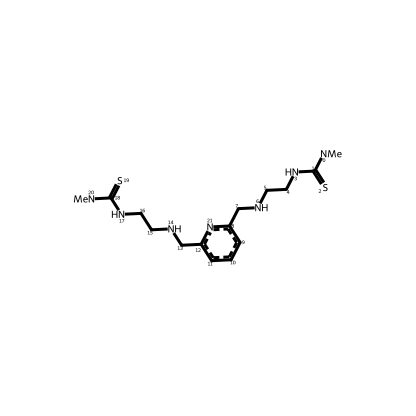 CNC(=S)NCCNCc1cccc(CNCCNC(=S)NC)n1